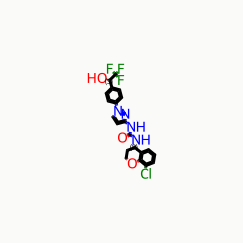 O=C(Nc1ccn(-c2ccc([C@H](O)C(F)(F)F)cc2)n1)N[C@H]1CCOc2c(Cl)cccc21